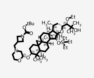 CCO[C@@H]([C@H]1C[C@@H](C)[C@H]2[C@H](O1)[C@H](O[Si](CC)(CC)CC)[C@@]1(C)[C@@H]3CC[C@H]4C(C)(C)[C@@H](O[C@H]5CN(CC6CN(C(=O)OC(C)(C)C)C6)CCO5)CCC45C[C@@]35CC[C@]21C)C(C)(C)O